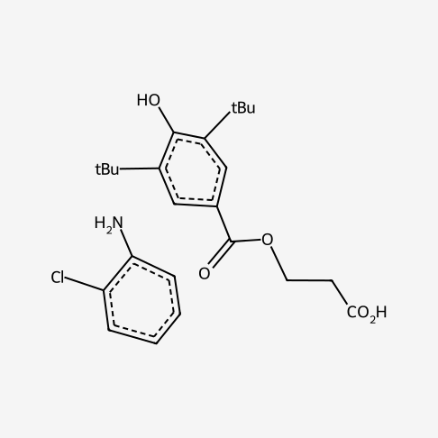 CC(C)(C)c1cc(C(=O)OCCC(=O)O)cc(C(C)(C)C)c1O.Nc1ccccc1Cl